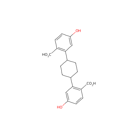 O=C(O)c1ccc(O)cc1C1CCC(c2cc(O)ccc2C(=O)O)CC1